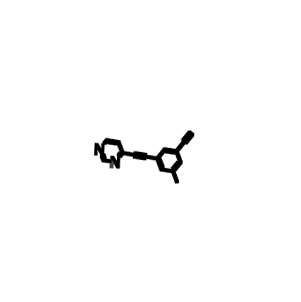 C#Cc1cc(C)cc(C#Cc2ccncn2)c1